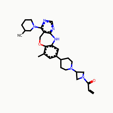 C=CC(=O)N1CC(N2CCC(c3cc(C)c4c(c3)Nc3ncnc(N5CCCC(C#N)C5)c3CO4)CC2)C1